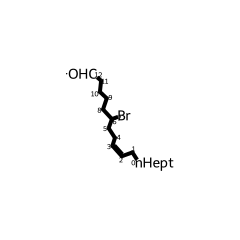 CCCCCCCC/C=C\CCC(Br)CCCC[C]=O